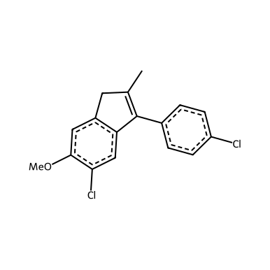 COc1cc2c(cc1Cl)C(c1ccc(Cl)cc1)=C(C)C2